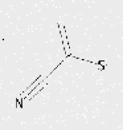 C=C([S])C#N